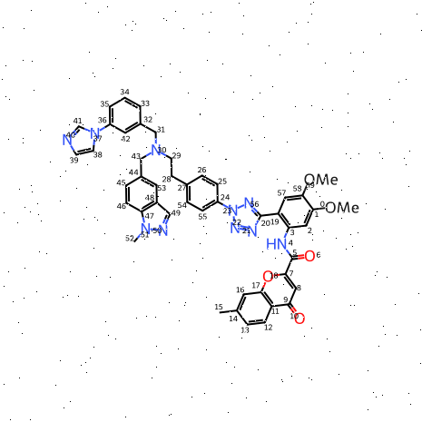 COc1cc(NC(=O)c2cc(=O)c3ccc(C)cc3o2)c(-c2nnn(-c3ccc(CCN(Cc4cccc(-n5ccnc5)c4)Cc4ccc5c(cnn5C)c4)cc3)n2)cc1OC